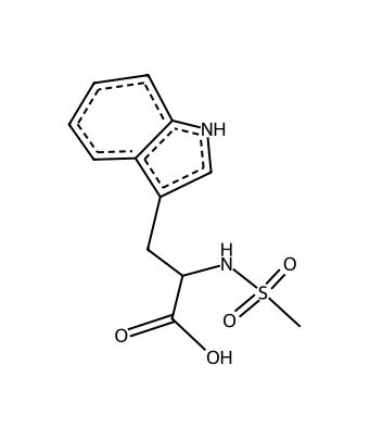 CS(=O)(=O)NC(Cc1c[nH]c2ccccc12)C(=O)O